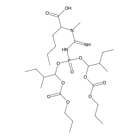 CCCCC(C(=O)O)N(C)C(=N)NP(=O)(OC(OC(=O)OCCC)C(C)CC)OC(OC(=O)OCCC)C(C)CC